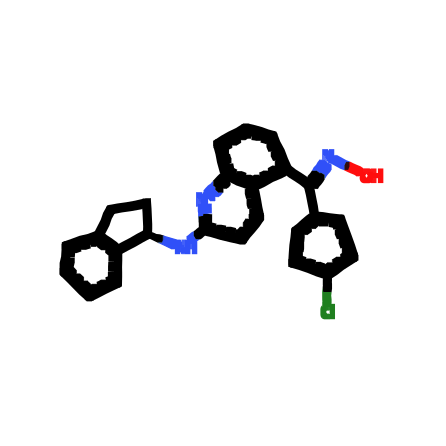 O/N=C(\c1ccc(Cl)cc1)c1cccc2nc(N[C@@H]3CCc4ccccc43)ccc12